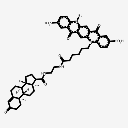 CCn1c2ccc(S(=O)(=O)O)cc2c(=O)c2cc3c(cc21)c(=O)c1cc(S(=O)(=O)O)ccc1n3CCCCCC(=O)NCCNC(=O)C1CC[C@H]2[C@@H]3CCC4=CC(=O)CC[C@]4(C)[C@H]3CC[C@]12C